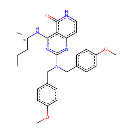 CCC[C@H](C)Nc1nc(N(Cc2ccc(OC)cc2)Cc2ccc(OC)cc2)nc2cc[nH]c(=O)c12